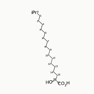 CC(C)CCCCCCCCCCCCCCCC(O)C(=O)O